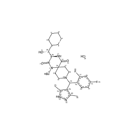 CCCCN1C(=O)[C@@H]([C@H](O)C2CCCCC2)NC(=O)C12CCN(C(c1ccc(F)cc1F)c1c(C)n[nH]c1C)CC2.Cl